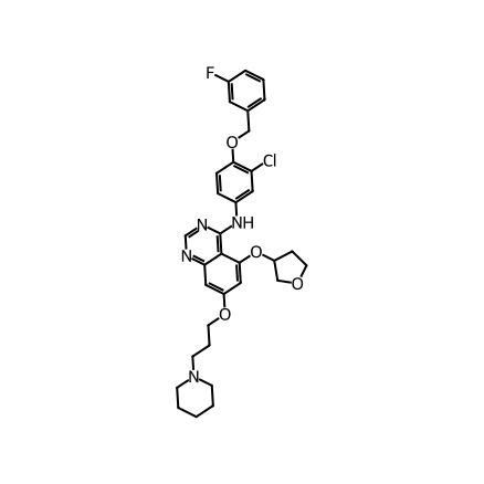 Fc1cccc(COc2ccc(Nc3ncnc4cc(OCCCN5CCCCC5)cc(OC5CCOC5)c34)cc2Cl)c1